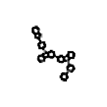 c1ccc(-c2cccc(-n3c4ccccc4c4cc(-c5ccc6c(c5)c5ccccc5n6-c5ccc(-c6nc7ccccc7s6)cc5)ccc43)c2)cc1